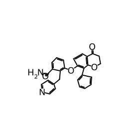 NC(=O)c1cccc(Oc2ccc3c(c2-c2ccccc2)OCCC3=O)c1Cc1ccncc1